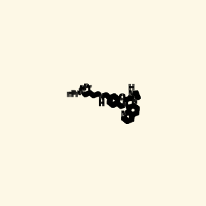 CCCN(CCC)CCCCNCc1ccc(CN(C(=O)c2ncc[nH]2)C2CCCc3cccnc32)cc1